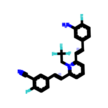 N#Cc1cc(/C=C/c2cccc(/C=C/c3ccc(F)c(N)c3)[n+]2CC(F)(F)F)ccc1F